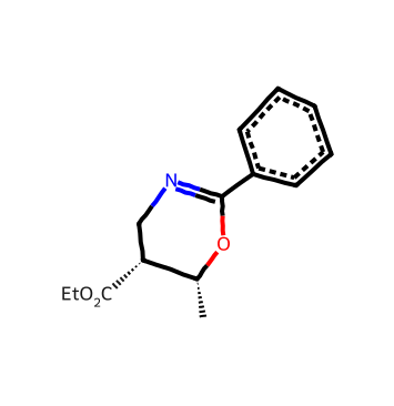 CCOC(=O)[C@@H]1CN=C(c2ccccc2)O[C@@H]1C